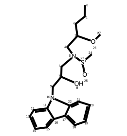 CCCC(CN(CC(O)Cn1c2ccccc2c2ccccc21)[S+](C)[O-])OC